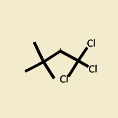 CC(C)(C)[CH]C(Cl)(Cl)Cl